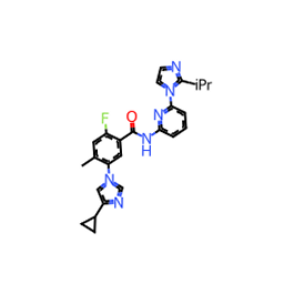 Cc1cc(F)c(C(=O)Nc2cccc(-n3ccnc3C(C)C)n2)cc1-n1cnc(C2CC2)c1